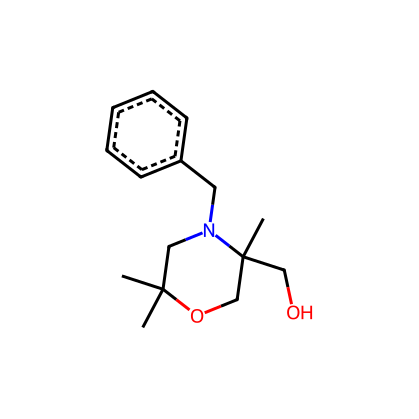 CC1(C)CN(Cc2ccccc2)C(C)(CO)CO1